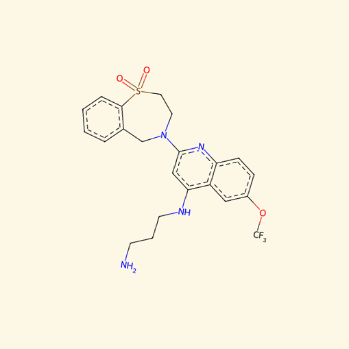 NCCCNc1cc(N2CCS(=O)(=O)c3ccccc3C2)nc2ccc(OC(F)(F)F)cc12